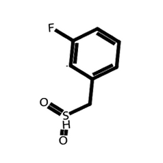 O=[SH](=O)Cc1[c]c(F)ccc1